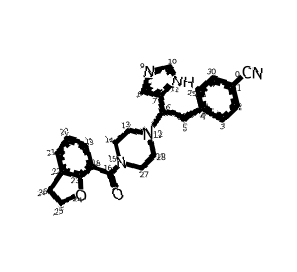 N#Cc1ccc(CC(c2cnc[nH]2)N2CCN(C(=O)c3cccc4c3OCC4)CC2)cc1